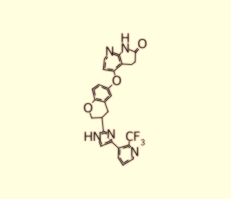 O=C1CCc2c(Oc3ccc4c(c3)CC(c3nc(-c5cccnc5C(F)(F)F)c[nH]3)CO4)ccnc2N1